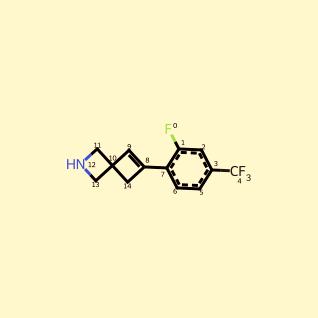 Fc1cc(C(F)(F)F)ccc1C1=CC2(CNC2)C1